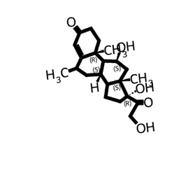 CC1C[C@@H]2C([C@@H](O)C[C@@]3(C)C2CC[C@]3(O)C(=O)CO)[C@@]2(C)CCC(=O)C=C12